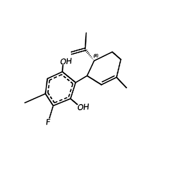 C=C(C)[C@@H]1CCC(C)=CC1c1c(O)cc(C)c(F)c1O